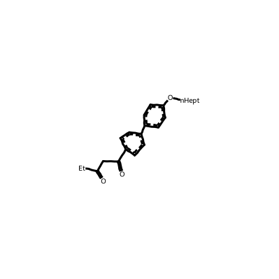 CCCCCCCOc1ccc(-c2ccc(C(=O)CC(=O)CC)cc2)cc1